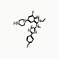 CCn1nc2c(F)cc(N3CCNCC3)cc2c1N(C)c1nc(-c2ccc(F)cc2)ns1